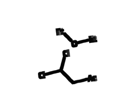 CC(=O)CC(Cl)Cl.CCOCC